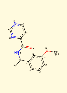 CC(NC(=O)c1ccncn1)c1cccc(OC(F)(F)F)c1